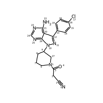 N#CCC(=O)N1CCCC(n2nc(-c3ccc(Cl)cc3)c3c(N)ncnc32)C1